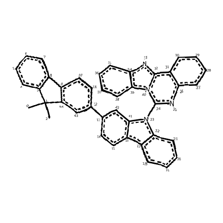 CC1(C)c2ccccc2-c2ccc(-c3ccc4c5ccccc5n(-c5nc6ccccc6c6nc7ccccc7n56)c4c3)cc21